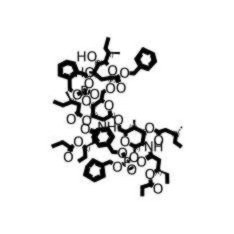 CCC(=O)O[C@H](CC)CC(=O)NC1[C@@H](OP(=O)(OCc2ccccc2)OCc2ccccc2)OC(CO[C@@H]2OC(CO[C@]3(C(=O)OCc4ccccc4)C[C@@H](O)[C@@H](O)C([C@H](C)CC)O3)[C@@H](OP3(=O)OCc4ccccc4CO3)[C@H](OC(=O)C[C@H](C)CC)C2NC(=O)C[C@@H](CC)OC(=O)CC)[C@@H](C)[C@@H]1OC(=O)C[C@H](C)CC